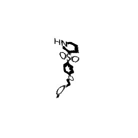 COCCOc1ccc(S(=O)(=O)C2CCCNC2)cc1